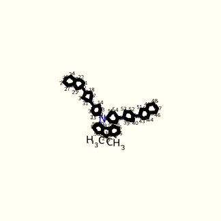 CC1(C)c2ccccc2-c2c(N(c3ccc(-c4ccc(-c5ccc6ccccc6c5)cc4)cc3)c3ccc(-c4ccc(-c5ccc6ccccc6c5)cc4)cc3)cccc21